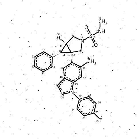 CNS(=O)(=O)N1C[C@@H]2[C@@H](c3ccccc3)[C@]2(c2cc3cnn(-c4ccc(F)cc4)c3cc2C)C1